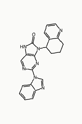 O=c1[nH]c2cnc(-n3cnc4ccccc43)nc2n1C1CCCc2ncccc21